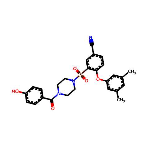 Cc1cc(C)cc(Oc2ccc(C#N)cc2S(=O)(=O)N2CCN(C(=O)c3ccc(O)cc3)CC2)c1